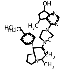 CC(C)N1CCC[C@H]1[C@@H](C(=O)N1CCN(c2ncnc3c2[C@@H](C)C[C@H]3O)CC1)c1ccc(Cl)cc1.Cl.Cl